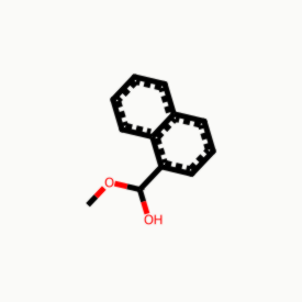 CO[C](O)c1cccc2ccccc12